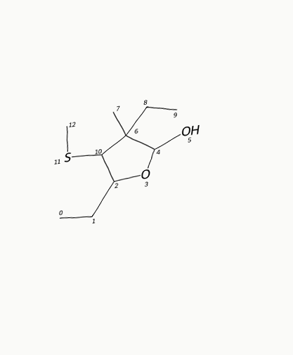 CCC1OC(O)C(C)(CC)C1SC